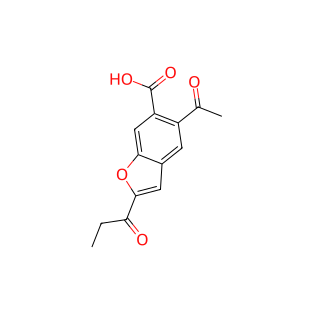 CCC(=O)c1cc2cc(C(C)=O)c(C(=O)O)cc2o1